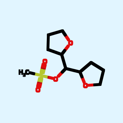 CS(=O)(=O)OC(C1CCCO1)C1CCCO1